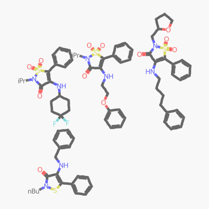 CC(C)N1C(=O)C(NC2CCC(F)(F)CC2)=C(c2ccccc2)S1(=O)=O.CC(C)N1C(=O)C(NCCOc2ccccc2)=C(c2ccccc2)S1(=O)=O.CCCCn1sc(-c2ccccc2)c(NCc2ccccc2)c1=O.O=C1C(NCCCCc2ccccc2)=C(c2ccccc2)S(=O)(=O)N1CC1CCCO1